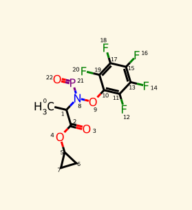 CC(C(=O)OC1CC1)N(Oc1c(F)c(F)c(F)c(F)c1F)P=O